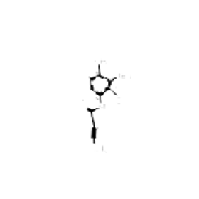 CC#CC(=O)Nc1ccc(C)c(C(C)(C)C)c1F